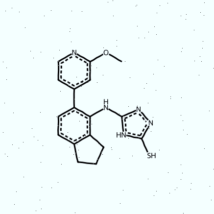 COc1cc(-c2ccc3c(c2Nc2nnc(S)[nH]2)CCC3)ccn1